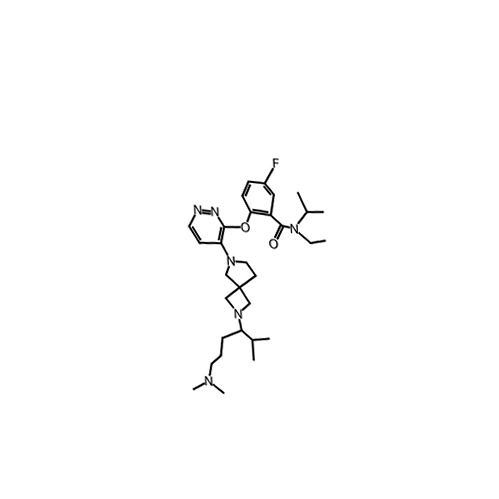 CCN(C(=O)c1cc(F)ccc1Oc1nnccc1N1CCC2(C1)CN(C(CCCN(C)C)C(C)C)C2)C(C)C